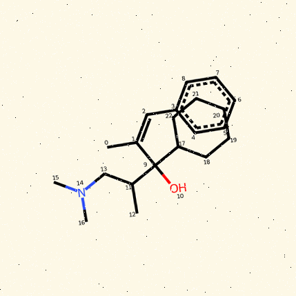 C/C(=C/c1ccccc1)C(O)(C(C)CN(C)C)C1CCCCC1